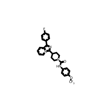 O=C(Nc1ccc(OC(F)(F)F)cc1)N1CCC(c2nc(-c3ccc(F)cc3)c3ccccn23)CC1